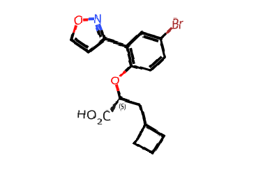 O=C(O)[C@H](CC1CCC1)Oc1ccc(Br)cc1-c1ccon1